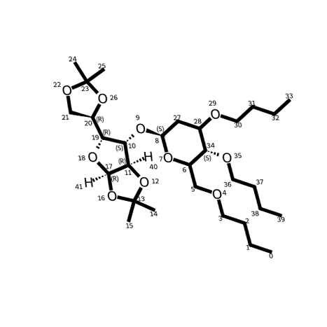 CCCCOCC1O[C@@H](O[C@@H]2[C@H]3OC(C)(C)O[C@H]3O[C@@H]2[C@H]2COC(C)(C)O2)CC(OCCCC)[C@@H]1OCCCC